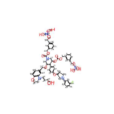 O=C(OCc1cccc(CON(O)O)c1)OC1CN(C(=O)OCc2cccc(CON(O)O)c2)CC(OCc2ccc3c(c2)N(CCCO)CCO3)C1c1ccc(OC2CCN(c3cccc(F)c3)C2)cc1